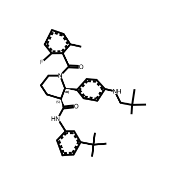 Cc1cccc(F)c1C(=O)N1CCC[C@H](C(=O)Nc2cccc(C(C)(C)C)c2)[C@@H]1c1ccc(NCC(C)(C)C)cc1